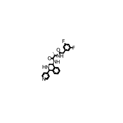 C[C@H](NC(=O)Cc1cc(F)cc(F)c1)C(=O)NC1CNC(c2ccncc2)c2ccccc21